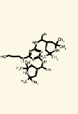 CCCC(Nc1nc(NCCCO)nc(NC(CCC)C2CC(C)(C)NC(C)(C)C2)n1)C1CC(C)(C)NC(C)(C)C1